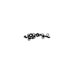 CCC(=O)CCC(=O)OCCN1CCN(C(=O)O[C@@H]2CC[C@]3(CO3)[C@@H](C3(C)O[C@@H]3CC=C(C)C)[C@@H]2OC)CC1